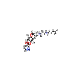 CC(C)=CCC/C(C)=C/CC/C(C)=C/CC[C@]1(C)CCc2c(C)c(OC(=O)c3cccnc3)c(C)c(C)c2O1